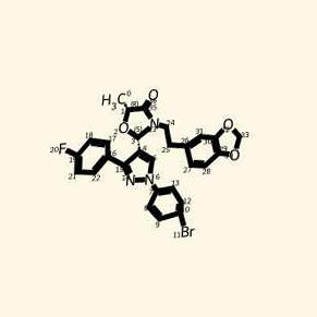 C[C@H]1O[C@@H](c2cn(-c3ccc(Br)cc3)nc2-c2ccc(F)cc2)N(CCc2ccc3c(c2)OCO3)C1=O